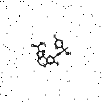 CC(O)(C#Cc1cc2c(cc1F)OCCn1cc(C(N)=O)nc1-2)c1ccc(F)cn1